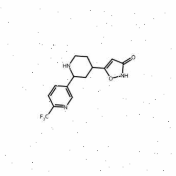 O=c1cc(C2CCNC(c3ccc(C(F)(F)F)nc3)C2)o[nH]1